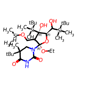 CCO[C@@]1(N2CC(C)(C(C)(C)C)C(=O)NC2=O)O[C@H](C(O)[Si](C)(C)C(C)(C)C)[C@](O)([Si](C)(C)C(C)(C)C)C1CO[SiH](C)C